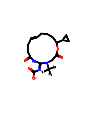 [2H]C([2H])([2H])N1CC(=O)OC(C2CC2)CCC/C=C/CCC(=O)NC1=NC(=O)O